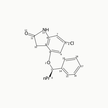 CCC[C@@H](Oc1cc(Cl)cc2c1CC(=O)N2)c1ccccc1